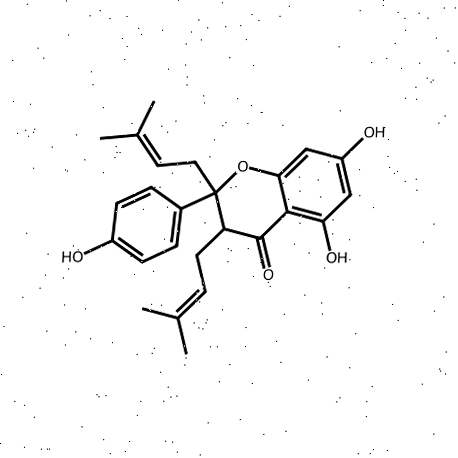 CC(C)=CCC1C(=O)c2c(O)cc(O)cc2OC1(CC=C(C)C)c1ccc(O)cc1